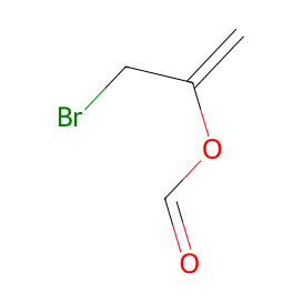 C=C(CBr)OC=O